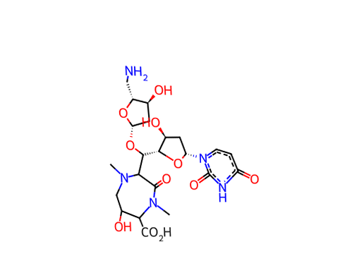 CN1CC(O)C(C(=O)O)N(C)C(=O)C1C(O[C@H]1C[C@H](O)[C@@H](CN)O1)[C@H]1O[C@@H](n2ccc(=O)[nH]c2=O)C[C@@H]1O